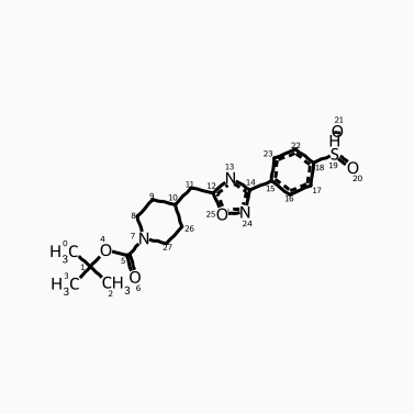 CC(C)(C)OC(=O)N1CCC(Cc2nc(-c3ccc([SH](=O)=O)cc3)no2)CC1